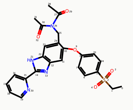 CCS(=O)(=O)c1ccc(Oc2cc3nc(-c4ccccn4)[nH]c3cc2CN(C(C)=O)C(C)=O)cc1